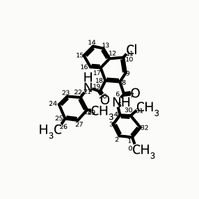 Cc1ccc(NC(=O)c2cc(Cl)c3ccccc3c2C(=O)Nc2ccc(C)cc2C)c(C)c1